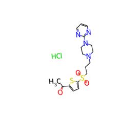 CC(=O)c1ccc(S(=O)(=O)CCCN2CCN(c3ncccn3)CC2)s1.Cl